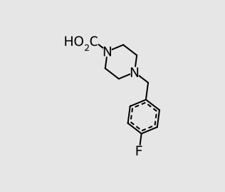 O=C(O)N1CCN(Cc2ccc(F)cc2)CC1